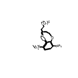 Nc1ccc(N)c2c1OCC(CCC(=O)O)O2